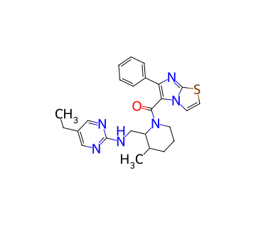 CCc1cnc(NCC2C(C)CCCN2C(=O)c2c(-c3ccccc3)nc3sccn23)nc1